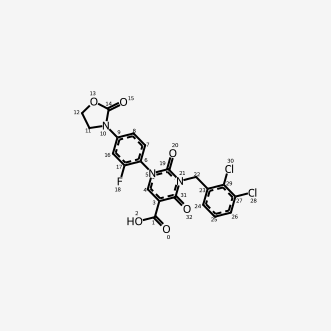 O=C(O)c1cn(-c2ccc(N3CCOC3=O)cc2F)c(=O)n(Cc2cccc(Cl)c2Cl)c1=O